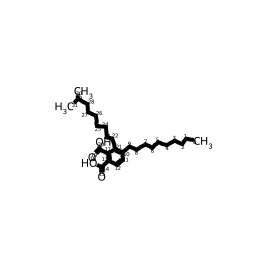 CCCCCCCCCCc1ccc(C(=O)O)c(C(=O)O)c1CCCCCCCC(C)C